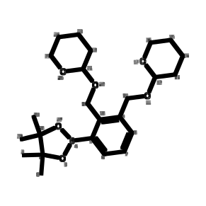 CC1(C)OB(c2cccc(COC3CCCCO3)c2COC2CCCCO2)OC1(C)C